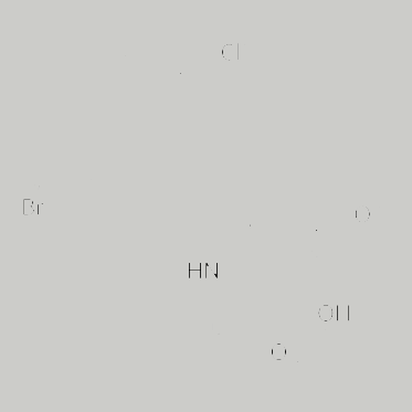 CC(=O)NC(Cc1cc(Br)ccc1Cl)C(=O)O